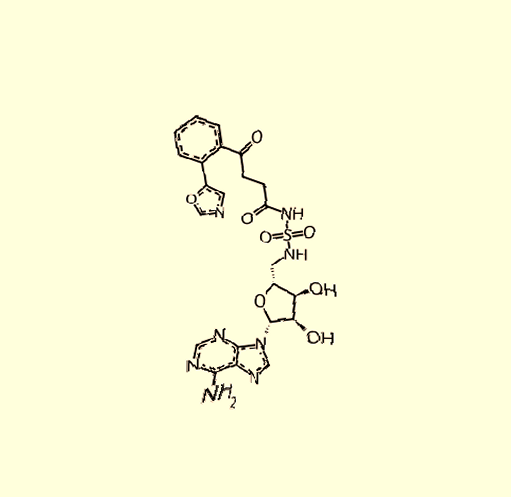 Nc1ncnc2c1ncn2[C@@H]1O[C@H](CNS(=O)(=O)NC(=O)CCC(=O)c2ccccc2-c2cnco2)[C@@H](O)[C@H]1O